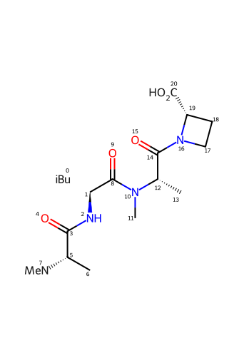 CC[C@H](C)[C@H](NC(=O)[C@H](C)NC)C(=O)N(C)[C@@H](C)C(=O)N1CC[C@H]1C(=O)O